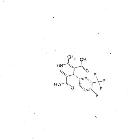 CC1=C(C(=O)O)C(c2ccc(F)c(C(F)(F)F)c2)C(C(=O)O)=CN1